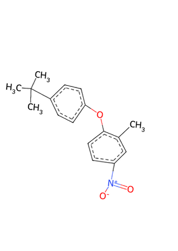 Cc1cc([N+](=O)[O-])ccc1Oc1ccc(C(C)(C)C)cc1